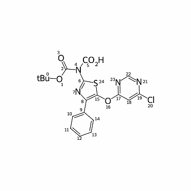 CC(C)(C)OC(=O)N(C(=O)O)c1nc(-c2ccccc2)c(Oc2cc(Cl)ncn2)s1